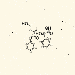 C=C(CCO)C(=O)Oc1ccccc1.O=C(O)C(O)c1ccccc1